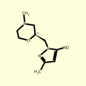 Cc1cc(N=O)n(C[C@@H]2CN(C)CCO2)n1